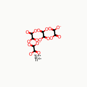 O=C([O-])C(=O)[O-].O=C([O-])C(=O)[O-].O=C([O-])C(=O)[O-].O=C([O-])C(=O)[O-].[Ti+4].[Ti+4]